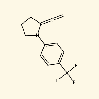 C=C=C1CCCN1c1ccc(C(F)(F)F)cc1